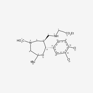 CCOC(=O)CNC[C@@H]1CN(C(=O)O)CC(C(C)(C)C)O[C@H]1c1ccc(Cl)c(Cl)c1